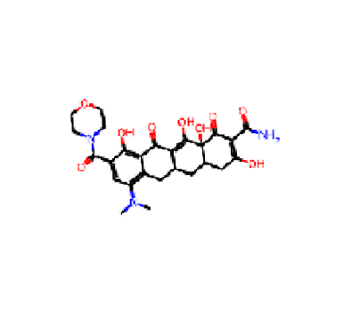 CN(C)c1cc(C(=O)N2CCOCC2)c(O)c2c1CC1CC3CC(O)=C(C(N)=O)C(=O)[C@@]3(O)C(O)=C1C2=O